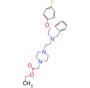 CCOC(=O)CN1CCN(CCN(CCOc2ccc(F)cc2)Cc2ccccc2)CC1